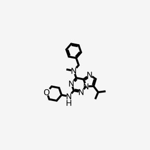 CC(C)c1cnc2c(N(C)Cc3ccccc3)nc(NC3CCOCC3)nn12